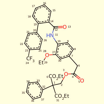 CCOC(=O)C(COC(=O)Cc1ccc(NC(=O)c2ccccc2-c2ccc(C(F)(F)F)cc2)c(OCC)c1)(C(=O)OCC)c1ccccc1